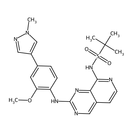 COc1cc(-c2cnn(C)c2)ccc1Nc1ncc2ccnc(NS(=O)(=O)C(C)(C)C)c2n1